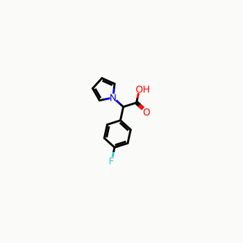 O=C(O)C(c1ccc(F)cc1)n1cccc1